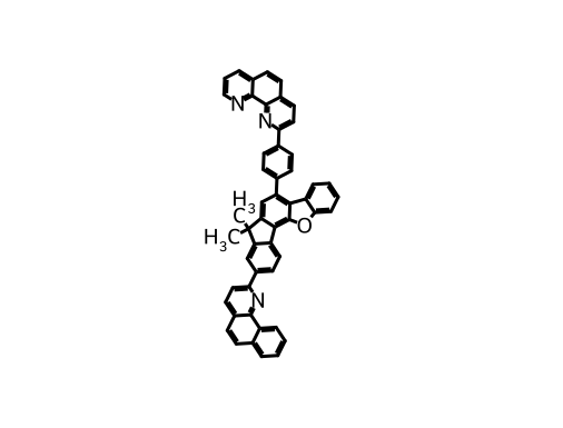 CC1(C)c2cc(-c3ccc4ccc5ccccc5c4n3)ccc2-c2c1cc(-c1ccc(-c3ccc4ccc5cccnc5c4n3)cc1)c1c2oc2ccccc21